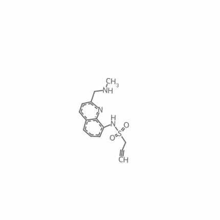 C#CCS(=O)(=O)Nc1cccc2ccc(CNC)nc12